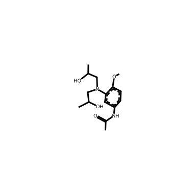 COc1ccc(NC(C)=O)cc1N(CC(C)O)CC(C)O